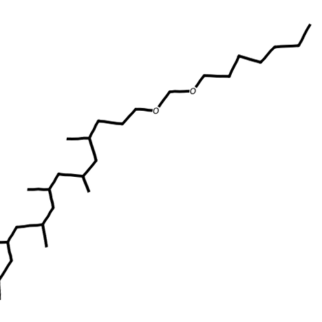 CCCCCCCOCOCCCC(C)CC(C)CC(C)CC(C)CC(C)CC(C)Cl